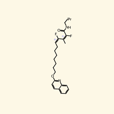 CC(/C(F)=C\CCCCCCCOc1ccc2ccccc2n1)=C(\F)C(=O)NCC(C)C